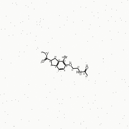 COC(=O)C1Cc2ccc(OCCNC(C)=O)c(Br)c2C1